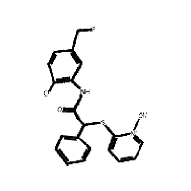 O=C(Nc1cc(CF)ccc1Cl)C(Sc1cccc[n+]1O)c1ccccc1